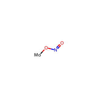 O=N[O][Mo]